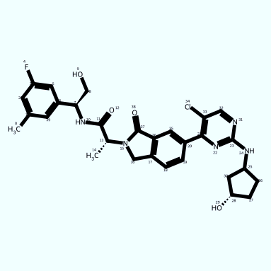 Cc1cc(F)cc([C@@H](CO)NC(=O)[C@@H](C)N2Cc3ccc(-c4nc(NC5CC[C@H](O)C5)ncc4Cl)cc3C2=O)c1